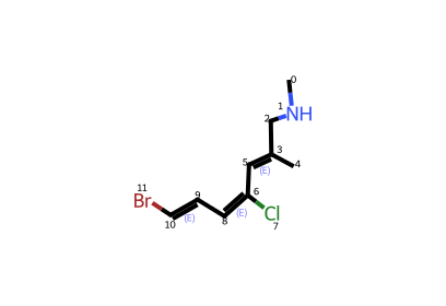 CNC/C(C)=C/C(Cl)=C\C=C\Br